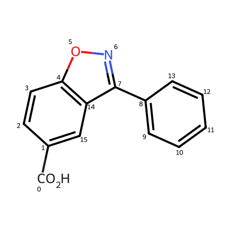 O=C(O)c1ccc2onc(-c3ccccc3)c2c1